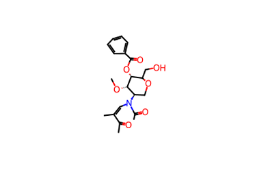 CO[C@@H]1[C@H](OC(=O)c2ccccc2)C(CO)OC[C@H]1N(/C=C(/C)C(C)=O)C(C)=O